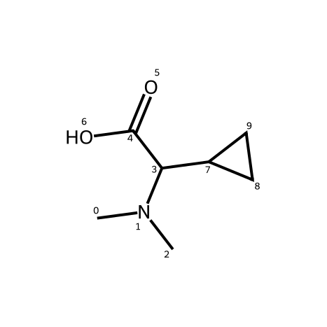 CN(C)C(C(=O)O)C1CC1